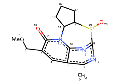 C.COCc1cc2cnc3nc2n(c1=O)C1CCCC1[S+]3[O-]